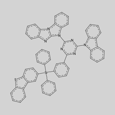 c1ccc([Si](c2ccccc2)(c2cccc(-c3nc(-n4c5ccccc5c5ccccc54)nc(-n4c5ccccc5n5c6ccccc6nc45)n3)c2)c2ccc3sc4ccccc4c3c2)cc1